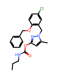 CCCNC(=O)Oc1cc(C)n(Cc2cc(Cl)ccc2OCc2ccccc2)n1